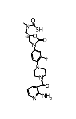 CN(C[C@@H]1CN(c2ccc(N3CCN(C(=O)c4cccnc4N)CC3)c(F)c2)C(=O)O1)C(=O)S